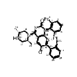 CC(C)c1cccc(C(C)C)c1-n1c(=O)nc(N2C[C@@H](C)NC[C@@H]2C)c2cc(Cl)c(-c3ccccc3F)nc21